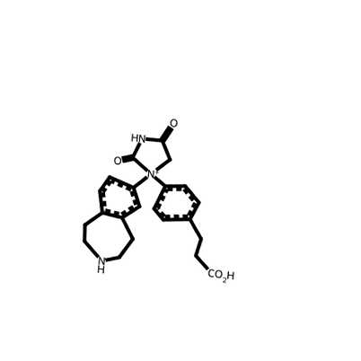 O=C(O)CCc1ccc([N+]2(c3ccc4c(c3)CCNCC4)CC(=O)NC2=O)cc1